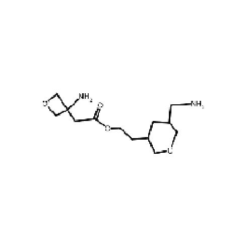 NCC1COCC(CCOC(=O)CC2(N)COC2)C1